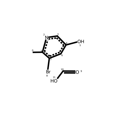 Cc1ncc(O)cc1Br.O=CO